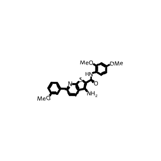 COc1cccc(-c2ccc3c(N)c(C(=O)Nc4ccc(OC)cc4OC)sc3n2)c1